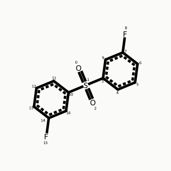 O=S(=O)(c1cccc(F)c1)c1cccc(F)c1